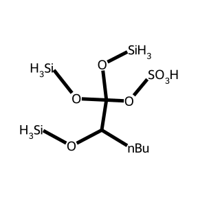 CCCCC(O[SiH3])C(O[SiH3])(O[SiH3])OS(=O)(=O)O